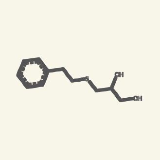 OCC(O)CSCCc1ccccc1